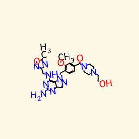 COc1cc(C(=O)N2CCN(CCO)CC2)ccc1Cn1ncc2nc(N)nc(NCc3noc(C)n3)c21